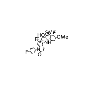 COc1ccc(C(Nc2cc(F)cc3c2ccc(=O)n3-c2ccc(F)cc2)C(O)(CSC)C(F)(F)F)c(Cl)c1F